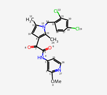 COc1cc(NC(=O)C(=O)c2cc(C)n(Cc3ccc(Cl)cc3Cl)c2C)ccn1